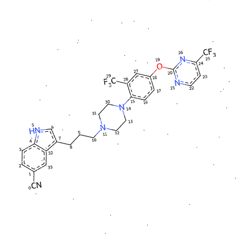 N#Cc1ccc2[nH]cc(CCCN3CCN(c4ccc(Oc5nccc(C(F)(F)F)n5)cc4C(F)(F)F)CC3)c2c1